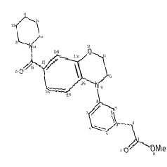 COC(=O)Cc1cccc(N2CCOc3cc(C(=O)N4CCCCC4)ccc32)c1